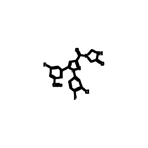 COc1cc(F)cc(-c2cc(C(=O)N3CNC(=O)C3)nn2-c2ccc(F)c(Cl)c2)c1